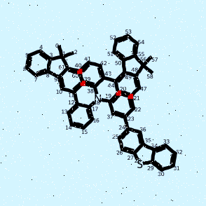 CC1(C)c2ccccc2-c2cc(-c3ccccc3N(c3cccc(-c4ccc5sc6ccccc6c5c4)c3)c3ccccc3-c3cccc4c3-c3ccccc3C4(C)C)ccc21